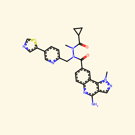 CN(C(=O)C1CC1)N(Cc1ccc(-c2cncs2)cn1)C(=O)c1ccc2nc(N)c3cnn(C)c3c2c1